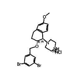 COc1ccc2c(c1)CC[C@@H](OCc1cc(Br)cc(Br)c1)[C@@H]2N1CCNCC1.Cl.Cl